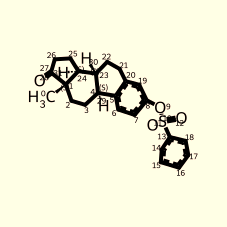 C[C@]12CC[C@@H]3c4ccc(OS(=O)(=O)c5ccccc5)cc4CC[C@H]3[C@@H]1CCC2=O